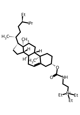 CC[C@H](CC[C@@H](C)[C@H]1CC[C@H]2[C@@H]3CC=C4C[C@@H](OC(=O)NCC[N+](CC)(CC)CC)CC[C@]4(C)[C@H]3CC[C@]12C)C(C)C